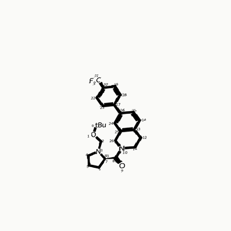 CC(C)(C)OCN1CCC[C@@H]1C(=O)N1CCc2ccc(-c3ccc(C(F)(F)F)cc3)cc2C1